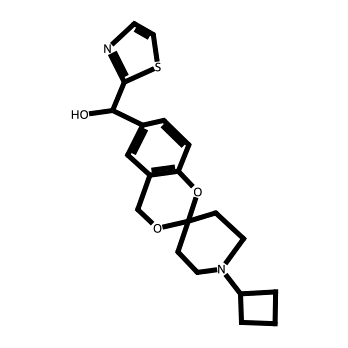 OC(c1ccc2c(c1)COC1(CCN(C3CCC3)CC1)O2)c1nccs1